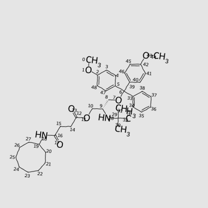 COc1ccc(C(OC[C@@H](COC(=O)CCC(=O)NC2CCCCCCCC2)NC(C)(C)C)(c2ccccc2)c2ccc(OC)cc2)cc1